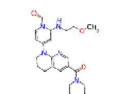 COCCNC1C=C(N2CCCc3cc(C(=O)N4CCCCC4)cnc32)C=CN1C=O